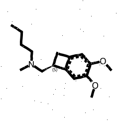 CCCCN(C)C[C@H]1Cc2cc(OC)c(OC)cc21